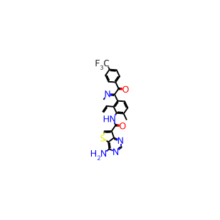 C=Cc1c(/C(=N\C)C(=O)c2ccc(C(F)(F)F)cc2)ccc(C)c1NC(=O)c1csc2c(N)ncnc12